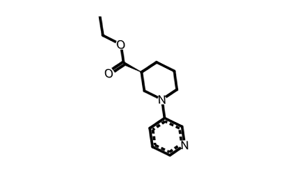 CCOC(=O)[C@H]1CCCN(c2cccnc2)C1